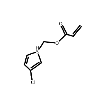 C=CC(=O)OC[SH]1C=CC(Cl)=C1